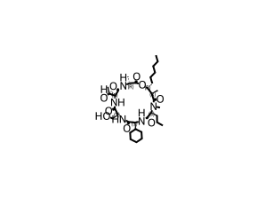 CCCCCC[C@H]1OC(=O)[C@@H](C)NC(=O)[C@H]([C@H](C)O)NC(=O)[C@H](CO)NC(=O)[C@H](C2CCCCC2)NC(=O)[C@H](CCC)N(C)C(=O)[C@@H]1C